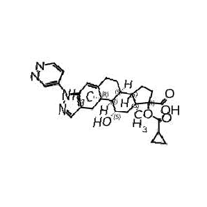 C[C@]12Cc3cnn(-c4ccnnc4)c3C=C1CC[C@@H]1[C@H]2[C@@H](O)C[C@@]2(C)[C@H]1CC[C@]2(OC(=O)C1CC1)C(=O)O